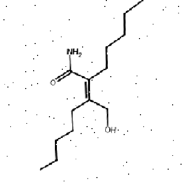 CCCCC/C(CO)=C(/CCCCC)C(N)=O